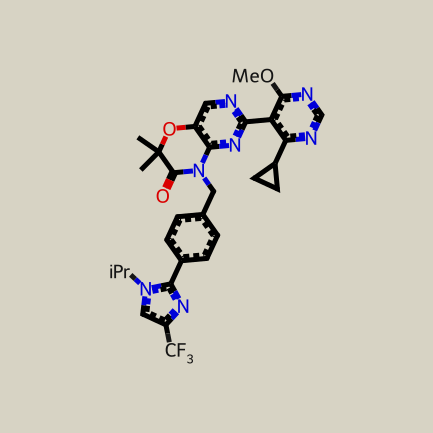 COc1ncnc(C2CC2)c1-c1ncc2c(n1)N(Cc1ccc(-c3nc(C(F)(F)F)cn3C(C)C)cc1)C(=O)C(C)(C)O2